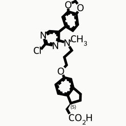 CN(CCCOc1ccc2c(c1)CC[C@H]2CC(=O)O)c1nc(Cl)ncc1-c1ccc2c(c1)OCO2